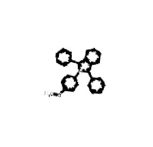 COc1ccc(-n2c(-c3ccccc3)c3ccccc3c2-c2ccccc2)cc1